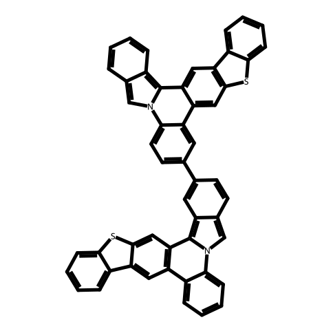 c1ccc2c(c1)cn1c3ccc(-c4ccc5cn6c7ccccc7c7cc8c(cc7c6c5c4)sc4ccccc48)cc3c3cc4sc5ccccc5c4cc3c21